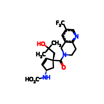 CC(C)(O)C[C@]1(C(=O)N2CCc3ncc(C(F)(F)F)cc3C2)C=C[C@@H](NC(=O)O)C1